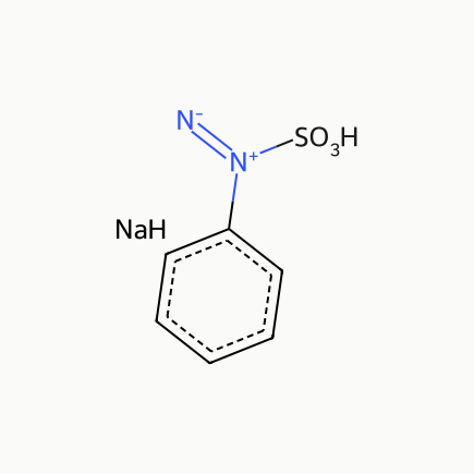 [N-]=[N+](c1ccccc1)S(=O)(=O)O.[NaH]